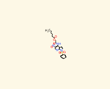 CCCCCC(=O)OCCNc1c([N+](=O)[O-])cnc2c1ccn2S(=O)(=O)c1ccccc1